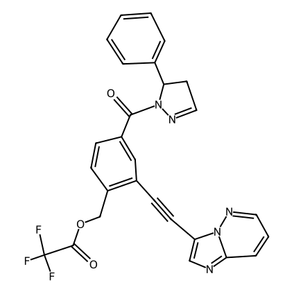 O=C(c1ccc(COC(=O)C(F)(F)F)c(C#Cc2cnc3cccnn23)c1)N1N=CCC1c1ccccc1